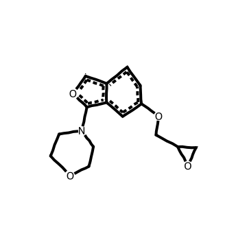 [c]1oc(N2CCOCC2)c2cc(OCC3CO3)ccc12